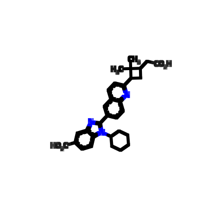 CC1(C)C(CC(=O)O)CC1c1ccc2cc(-c3nc4cc(C(=O)O)ccc4n3C3CCCCC3)ccc2n1